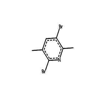 Cc1cc(Br)c(C)nc1Br